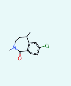 CC1CCN(C)C(=O)c2ccc(Cl)cc21